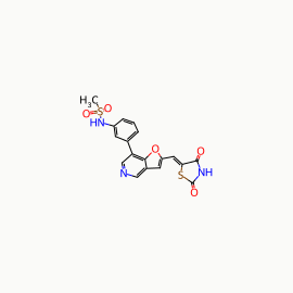 CS(=O)(=O)Nc1cccc(-c2cncc3cc(/C=C4\SC(=O)NC4=O)oc23)c1